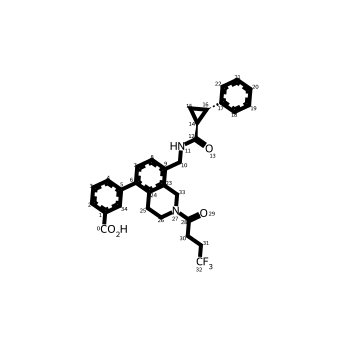 O=C(O)c1cccc(-c2ccc(CNC(=O)[C@H]3C[C@@H]3c3ccccc3)c3c2CCN(C(=O)CCC(F)(F)F)C3)c1